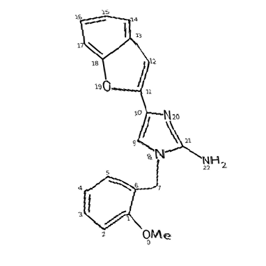 COc1ccccc1Cn1cc(-c2cc3ccccc3o2)nc1N